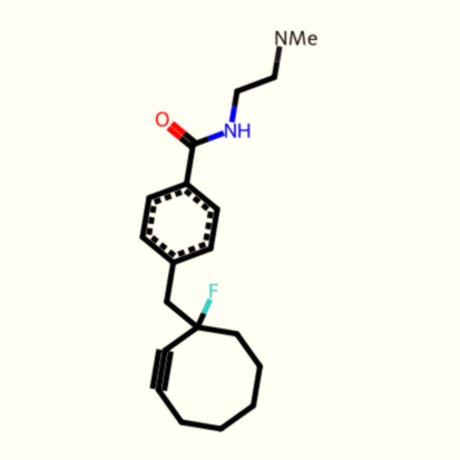 CNCCNC(=O)c1ccc(CC2(F)C#CCCCCC2)cc1